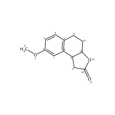 COc1ccc2c(c1)C1CC(=O)OC1CC2